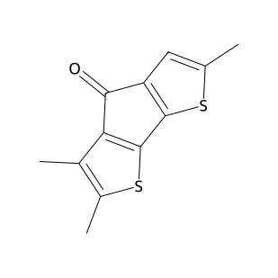 Cc1cc2c(s1)-c1sc(C)c(C)c1C2=O